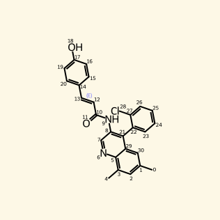 Cc1cc(C)c2ncc(NC(=O)/C=C/c3ccc(O)cc3)c(-c3ccccc3Cl)c2c1